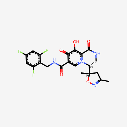 CC1=NO[C@](C)([C@H]2CNC(=O)c3c(O)c(=O)c(C(=O)NCc4c(F)cc(F)cc4F)cn32)C1